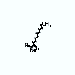 CCCCC=CCCCCc1cccnc1C#N